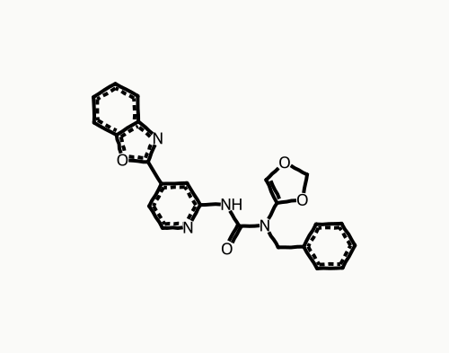 O=C(Nc1cc(-c2nc3ccccc3o2)ccn1)N(Cc1ccccc1)C1=COCO1